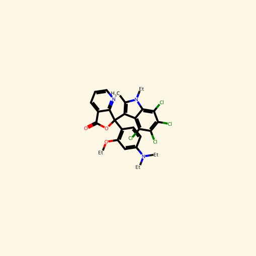 CCOc1cc(N(CC)CC)ccc1C1(c2c(C)n(CC)c3c(Cl)c(Cl)c(Cl)c(Cl)c23)OC(=O)c2cccnc21